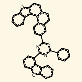 c1ccc(-c2nc(-c3ccc4c(ccc5ccc6oc7ccccc7c6c54)c3)nc(-c3cccc4oc5ccccc5c34)n2)cc1